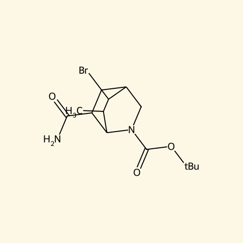 CC1C(Br)C2CC(C(N)=O)C1N(C(=O)OC(C)(C)C)C2